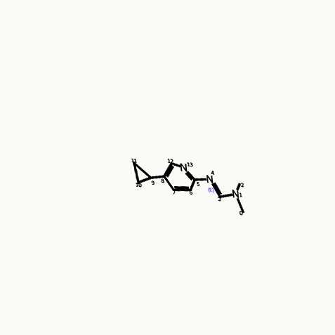 CN(C)/C=N/c1ccc(C2CC2)cn1